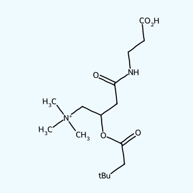 CC(C)(C)CC(=O)OC(CC(=O)NCCC(=O)O)C[N+](C)(C)C